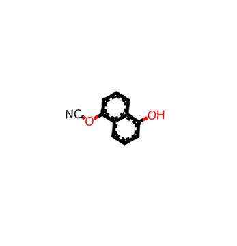 N#COc1cccc2c(O)cccc12